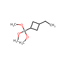 CCC1CC([Si](OC)(OC)OC)C1